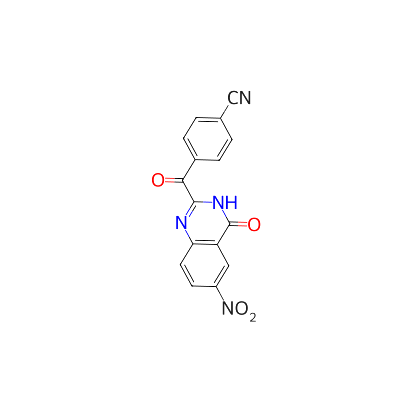 N#Cc1ccc(C(=O)c2nc3ccc([N+](=O)[O-])cc3c(=O)[nH]2)cc1